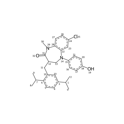 CC(C)c1ccc(C(C)C)c(CC2CN(c3ccc(O)cc3)c3cc(Cl)ccc3N(C)C2=O)c1